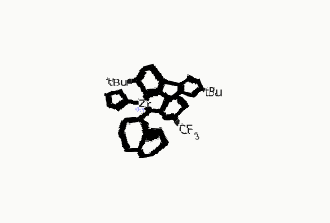 CC(C)(C)c1ccc2c(c1)Cc1c-2ccc(C(C)(C)C)[c]1/[Zr]([C]1=CC=CC1)=[C](\c1cccc(C(F)(F)F)c1)c1cccc2ccccc12